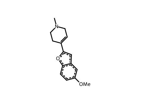 COc1ccc2oc(C3=CCN(C)CC3)cc2c1